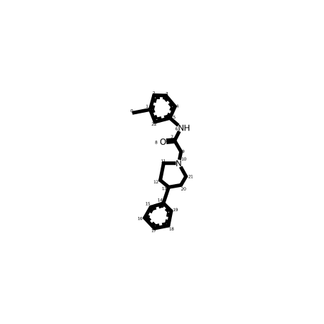 Cc1cccc(NC(=O)CN2CCC(c3ccccc3)CC2)c1